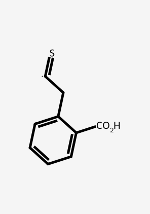 O=C(O)c1ccccc1C[C]=S